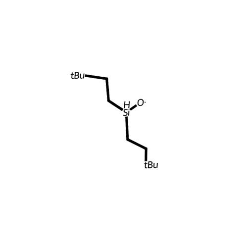 CC(C)(C)CC[SiH]([O])CCC(C)(C)C